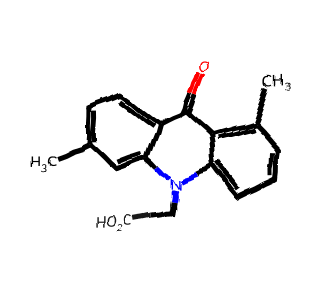 Cc1ccc2c(=O)c3c(C)cccc3n(CC(=O)O)c2c1